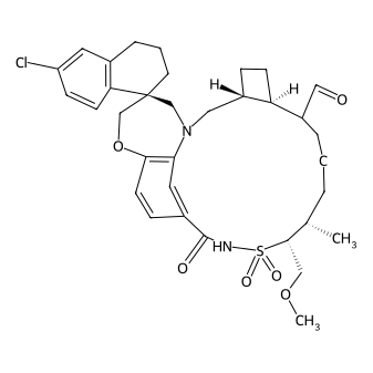 COC[C@H]1[C@@H](C)CCCC(C=O)[C@@H]2CC[C@H]2CN2C[C@@]3(CCCc4cc(Cl)ccc43)COc3ccc(cc32)C(=O)NS1(=O)=O